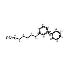 CCCCCCCCCCCCCCCc1ccc[n+](-c2ccccc2)c1